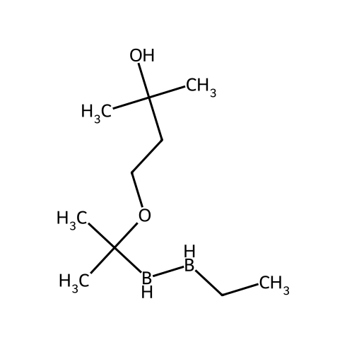 CCBBC(C)(C)OCCC(C)(C)O